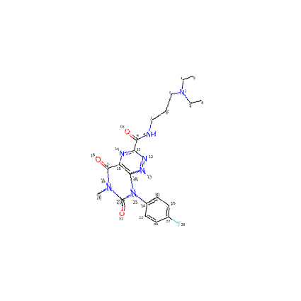 CCN(CC)CCCNC(=O)c1nnc2c(n1)c(=O)n(C)c(=O)n2-c1ccc(F)cc1